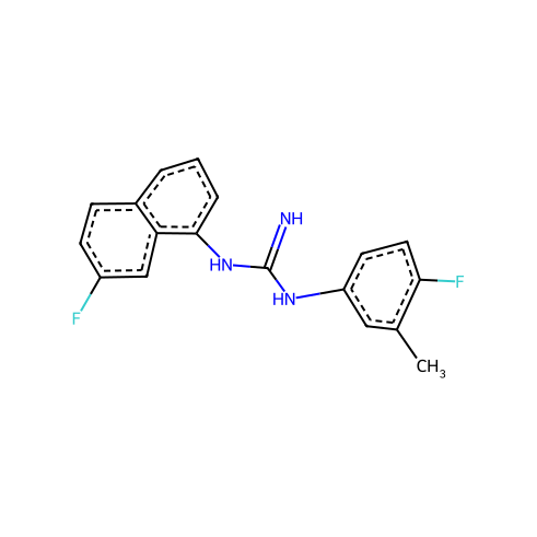 Cc1cc(NC(=N)Nc2cccc3ccc(F)cc23)ccc1F